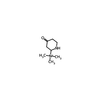 C[N+](C)(C)C1CC(=O)CCN1